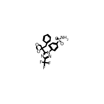 NS(=O)(=O)c1ccc(-n2nc(C(F)(F)F)nc2C2(Cc3ccccc3)COCO2)cc1